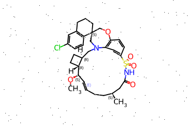 CO[C@@H]1/C=C/CC[C@H](C)CC(=O)NS(=O)(=O)c2ccc3c(c2)N(C[C@@H]2CC[C@H]21)C[C@@]1(CCCc2cc(Cl)ccc21)CO3